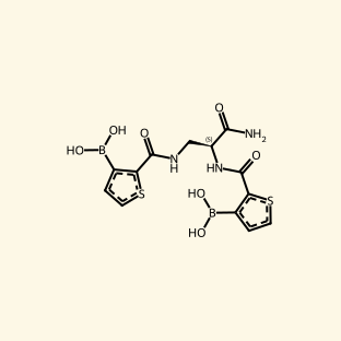 NC(=O)[C@H](CNC(=O)c1sccc1B(O)O)NC(=O)c1sccc1B(O)O